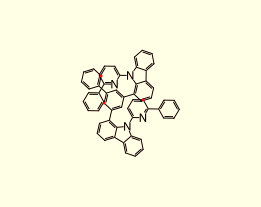 c1ccc(-c2cc(-c3cccc4c5ccccc5n(-c5cccc(-c6ccccc6)n5)c34)cc(-c3cccc4c5ccccc5n(-c5cccc(-c6ccccc6)n5)c34)c2)cc1